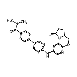 CN(C)C(=O)c1ccc(-c2cnc(Nc3cnc4c(c3)N3C(=O)CCC3CO4)nc2)cc1